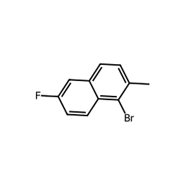 Cc1ccc2cc(F)ccc2c1Br